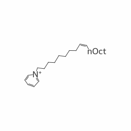 CCCCCCCC/C=C\CCCCCCCC[n+]1ccccc1